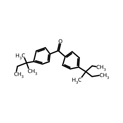 CCC(C)(C)c1ccc(C(=O)c2ccc(C(C)(CC)CC)cc2)cc1